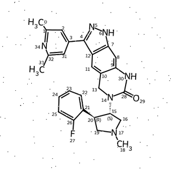 Cc1cc(-c2n[nH]c3cc4c(cc23)CN([C@@H]2CN(C)C[C@H]2c2ccccc2F)C(=O)N4)cc(C)n1